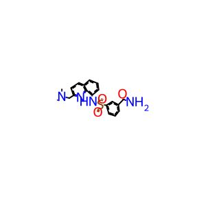 CN(C)Cc1ccc2cccc(NS(=O)(=O)c3cccc(C(N)=O)c3)c2n1